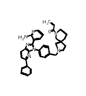 C=CC(=O)N1CCCC2(CCN(Cc3ccc(-n4c(-c5cccnc5N)nc5ccc(-c6ccccc6)nc54)cc3)C2)C1